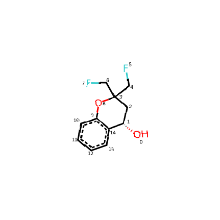 O[C@H]1CC(CF)(CF)Oc2ccccc21